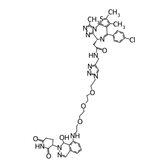 Cc1sc2c(c1C)C(c1ccc(Cl)cc1)=N[C@@H](CC(=O)NCc1cn(CCOCCOCCOCCNc3cccc4c3C(O)N(C3CCC(=O)NC3=O)N=C4)nn1)c1nnc(C)n1-2